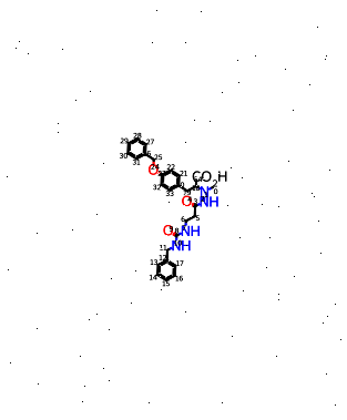 CN(NC(=O)CCNC(=O)NCc1ccccc1)C(Cc1ccc(OCc2ccccc2)cc1)C(=O)O